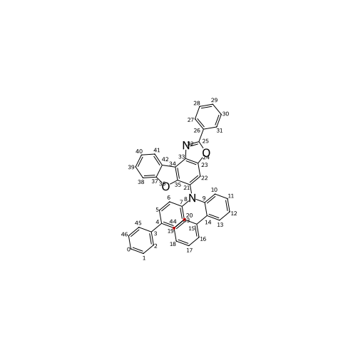 c1ccc(-c2ccc(N(c3ccccc3-c3ccccc3)c3cc4oc(-c5ccccc5)nc4c4c3oc3ccccc34)cc2)cc1